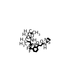 CC(C)[C@H](NC(=O)OC(C)(C)C)C(=O)Nc1c(C(=O)CC(=O)Nc2nccs2)cccc1C(F)(F)F